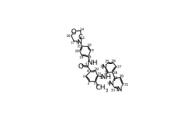 Cc1ccc(C(=O)Nc2ccc(N3CCOCC3)cc2)cc1Nc1ncccc1-c1ccncn1